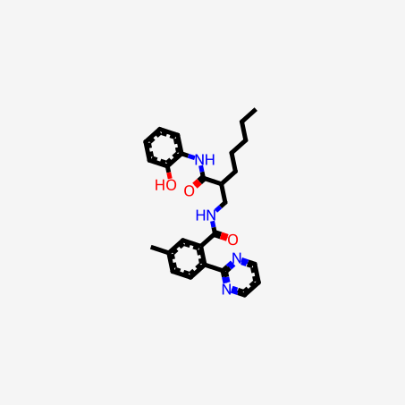 CCCCCC(CNC(=O)c1cc(C)ccc1-c1ncccn1)C(=O)Nc1ccccc1O